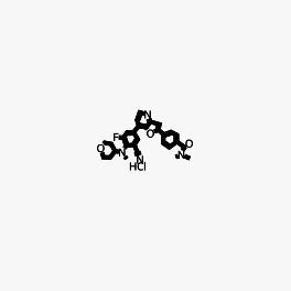 CN(C)C(=O)c1ccc(-c2cc3nccc(-c4cc(F)c(N(C)C5CCOCC5)c(C#N)c4)c3o2)cc1.Cl